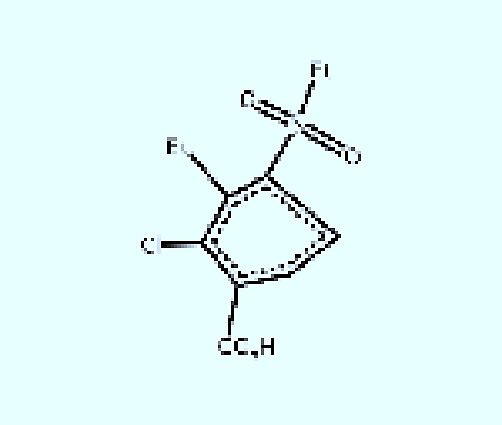 CCc1c(S(=O)(=O)CC)ccc(C(=O)O)c1Cl